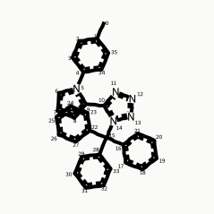 Cc1ccc(-n2cccc2-c2nnnn2C(c2ccccc2)(c2ccccc2)c2ccccc2)cc1